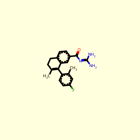 CC1=C(c2ccc(F)cc2C)c2cc(C(=O)N=C(N)N)ccc2CC1